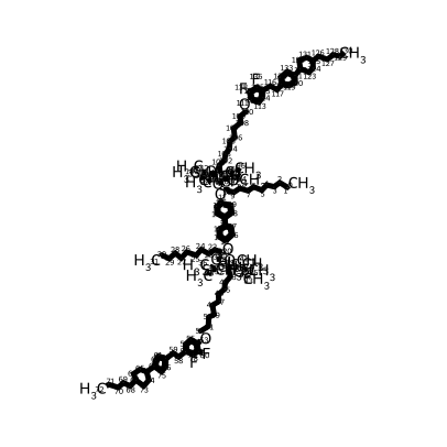 CCCCCCCCCCC(Oc1ccc(-c2ccc(OC(CCCCCCCCCC)[Si](C)(O[Si](C)(C)C)O[Si](C)(CCCCCCCCCCCOc3ccc(CCc4ccc(C5CCC(CCCCC)CC5)cc4)c(F)c3F)O[Si](C)(C)C)cc2)cc1)[Si](C)(O[Si](C)(C)C)O[Si](C)(CCCCCCCCCCCOc1ccc(CCc2ccc(C3CCC(CCCCC)CC3)cc2)c(F)c1F)O[Si](C)(C)C